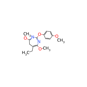 CCC1=C(OC)N=C(Oc2ccc(OC)cc2)N=C(OC)C1